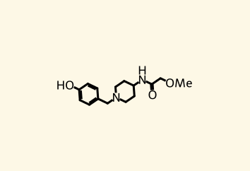 COCC(=O)NC1CCN(Cc2ccc(O)cc2)CC1